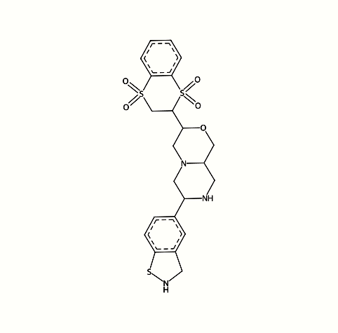 O=S1(=O)CC(C2CN3CC(c4ccc5c(c4)CNS5)NCC3CO2)S(=O)(=O)c2ccccc21